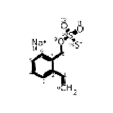 C=Cc1ccccc1COS(=O)(=O)[S-].[Na+]